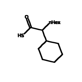 CCCCCCC(C(=O)S)C1CCCCC1